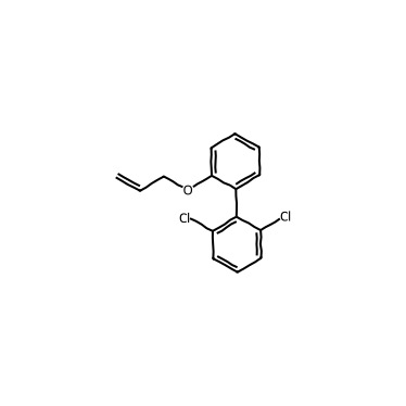 C=CCOc1ccccc1-c1c(Cl)cccc1Cl